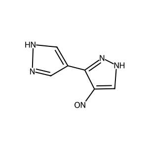 O=Nc1c[nH]nc1-c1cn[nH]c1